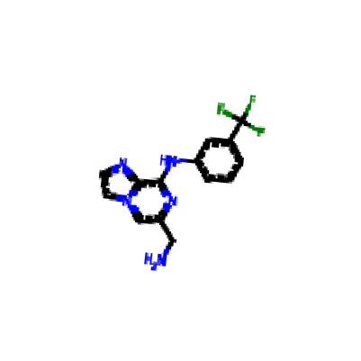 NCc1cn2ccnc2c(Nc2cccc(C(F)(F)F)c2)n1